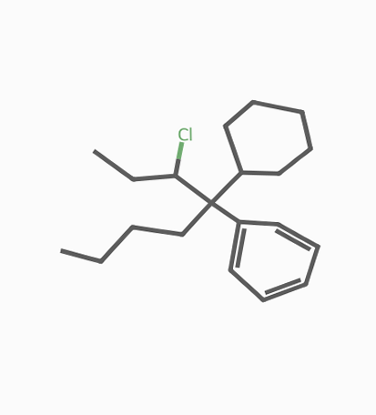 CCCCC(c1ccccc1)(C(Cl)CC)C1CCCCC1